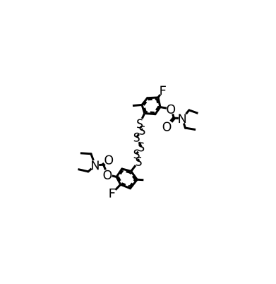 CCN(CC)C(=O)Oc1cc(SSSSSSc2cc(OC(=O)N(CC)CC)c(F)cc2C)c(C)cc1F